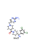 CON=C(c1cc(Cl)cc(Cl)c1)C1CCN(C(=O)C2CCN(Cc3cnc(N)nc3)CC2)CC1